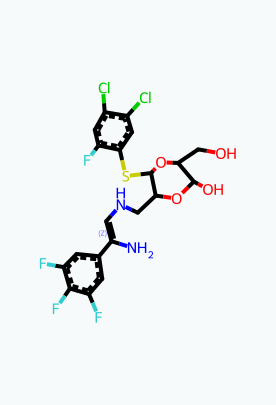 N/C(=C\NCC1OC(O)C(CO)OC1Sc1cc(Cl)c(Cl)cc1F)c1cc(F)c(F)c(F)c1